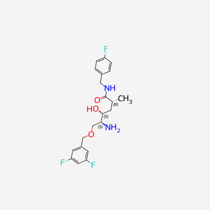 C[C@H](C[C@H](O)[C@@H](N)COCc1cc(F)cc(F)c1)C(=O)NCc1ccc(F)cc1